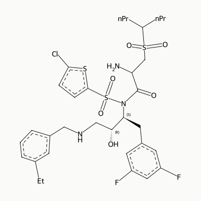 CCCC(CCC)S(=O)(=O)CC(N)C(=O)N([C@@H](Cc1cc(F)cc(F)c1)[C@H](O)CNCc1cccc(CC)c1)S(=O)(=O)c1ccc(Cl)s1